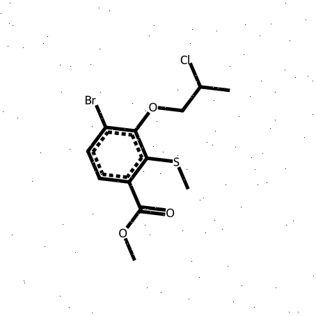 COC(=O)c1ccc(Br)c(OCC(C)Cl)c1SC